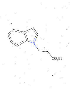 CCOC(=O)CCn1ccc2ccccc21